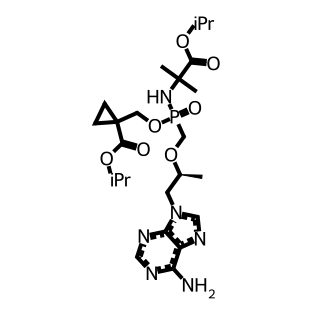 CC(C)OC(=O)C1(COP(=O)(CO[C@@H](C)Cn2cnc3c(N)ncnc32)NC(C)(C)C(=O)OC(C)C)CC1